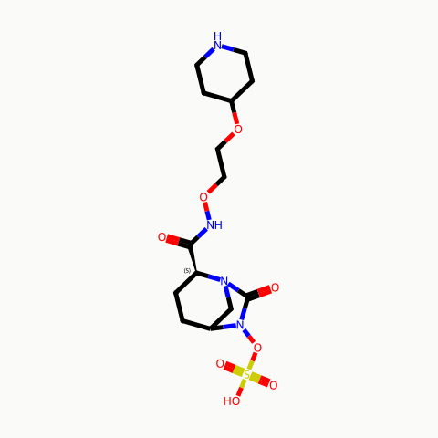 O=C(NOCCOC1CCNCC1)[C@@H]1CCC2CN1C(=O)N2OS(=O)(=O)O